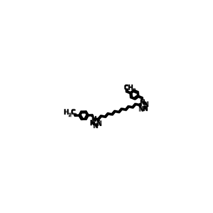 C=Cc1ccc(Cn2nnnc2CCCCCCCCCCCc2nnnn2Cc2ccc(C=C)cc2)cc1